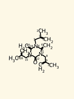 C=C(C)CN1C(=C)N(CC(=C)C)C(=O)N(CC(=C)C)C1=C